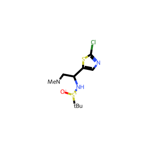 CNCC(N[S+]([O-])C(C)(C)C)c1cnc(Cl)s1